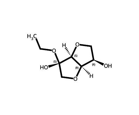 CCO[C@@]1(O)CO[C@@H]2[C@H](O)CO[C@@H]21